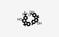 CC1(C)c2ccccc2-c2c1cc(O)c1cc(C(F)(F)F)ccc21.Cc1ccc2c3c(cc(O)c2c1)C(C)(C)c1ccc(C(=O)O)cc1-3